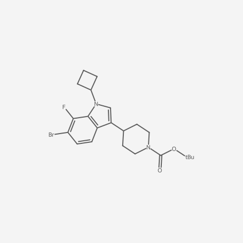 CC(C)(C)OC(=O)N1CCC(c2cn(C3CCC3)c3c(F)c(Br)ccc23)CC1